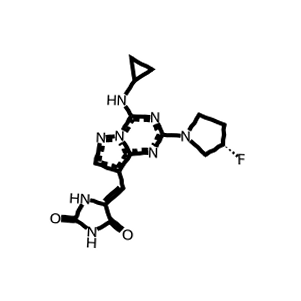 O=C1NC(=O)/C(=C/c2cnn3c(NC4CC4)nc(N4CC[C@H](F)C4)nc23)N1